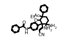 CCOC1C(C(C)=O)(c2ccccc2)CCC(N)(N)C1(C=CC#N)c1ccc(NC(=O)c2ccccc2)cc1